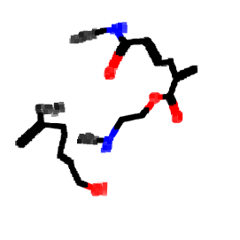 C=C(CC=CC(=O)NCCCCCCCC)C(=O)OCCNCCCC.C=C(CCCCO)C(=O)O